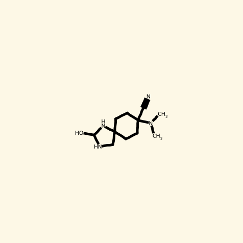 CN(C)C1(C#N)CCC2(CC1)CNC(O)N2